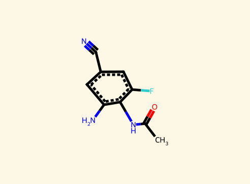 CC(=O)Nc1c(N)cc(C#N)cc1F